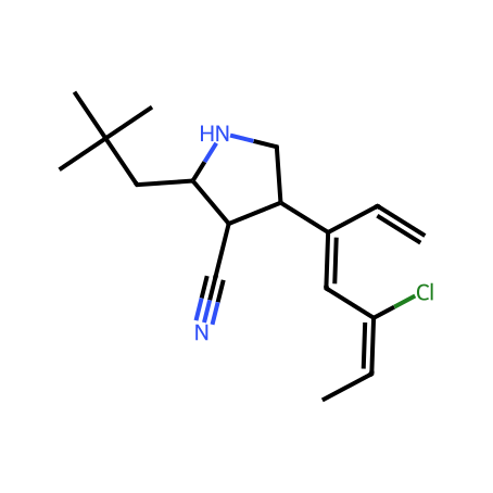 C=C/C(=C\C(Cl)=C/C)C1CNC(CC(C)(C)C)C1C#N